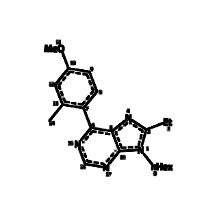 CCCCCCn1c(CC)nc2c(-c3ccc(OC)cc3C)ncnc21